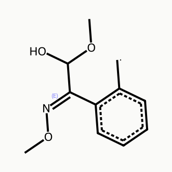 [CH2]c1ccccc1/C(=N\OC)C(O)OC